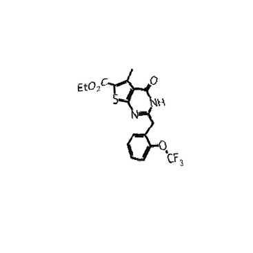 CCOC(=O)c1sc2nc(Cc3ccccc3OC(F)(F)F)[nH]c(=O)c2c1C